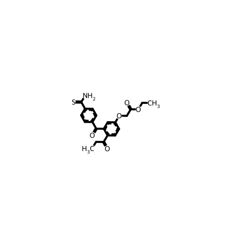 CCOC(=O)COc1ccc(C(=O)CC)c(C(=O)c2ccc(C(N)=S)cc2)c1